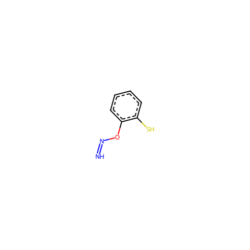 N=NOc1ccccc1S